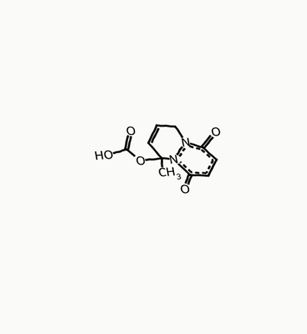 CC1(OC(=O)O)C=CCn2c(=O)ccc(=O)n21